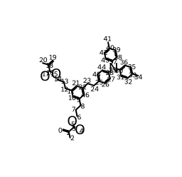 C=C(C)C(=O)OCCCc1cc(CCCOC(=O)C(=C)C)cc(CCc2ccc(N(c3ccc(C)cc3)c3ccc(C)cc3)cc2)c1